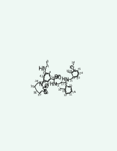 CCNc1cc(C(=O)N[C@@H](Cc2ccccc2)[C@H](O)CNCc2cccc(OC)c2C)cc(N2CCCCS2(=O)=O)c1